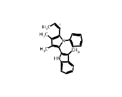 C/C=C\c1c(C)c(C)c(-c2[nH]c3ccccc3c2C)n1-c1ccccc1